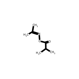 CC(C)=NOC(=O)C(C)C